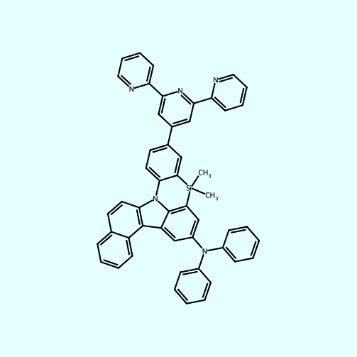 C[Si]1(C)c2cc(-c3cc(-c4ccccn4)nc(-c4ccccn4)c3)ccc2-n2c3ccc4ccccc4c3c3cc(N(c4ccccc4)c4ccccc4)cc1c32